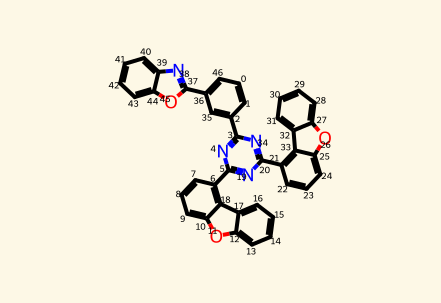 c1cc(-c2nc(-c3cccc4oc5ccccc5c34)nc(-c3cccc4oc5ccccc5c34)n2)cc(-c2nc3ccccc3o2)c1